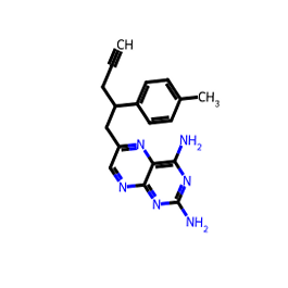 C#CCC(Cc1cnc2nc(N)nc(N)c2n1)c1ccc(C)cc1